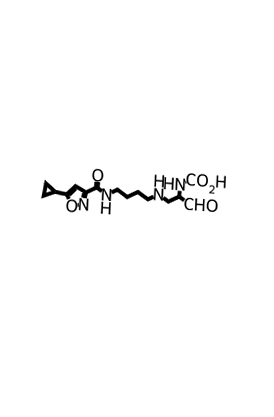 O=CC(CNCCCCNC(=O)c1cc(C2CC2)on1)NC(=O)O